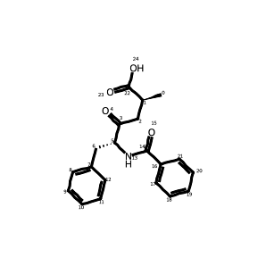 C[C@@H](CC(=O)[C@@H](Cc1ccccc1)NC(=O)c1ccccc1)C(=O)O